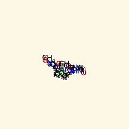 COCCN1CCc2c(cc(-c3cccc(-c4cccc(-c5cnc(CN6CC7(CCC(=O)N7)C6)c(OC)n5)c4Cl)c3Cl)nc2OC)C1